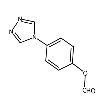 O=COc1ccc(-n2cnnc2)cc1